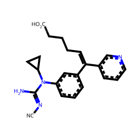 N#CN=C(N)N(c1cccc(/C(=C\CCCC(=O)O)c2cccnc2)c1)C1CC1